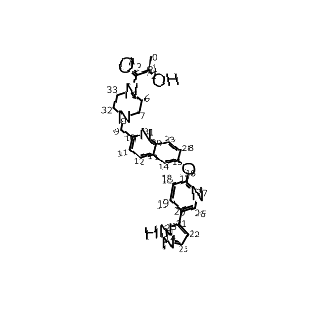 C[C@@H](O)C(=O)N1CCN(Cc2ccc3cc(Oc4ccc(-c5ccn[nH]5)cn4)ccc3n2)CC1